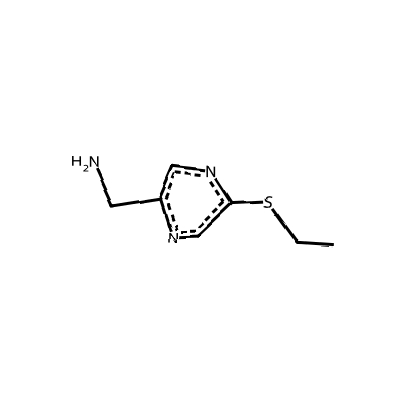 CCSc1cnc(CN)cn1